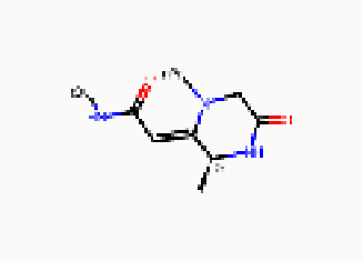 CCCN1CC(=O)N[C@@H](C)C1=CC(=O)NC(C)(C)C